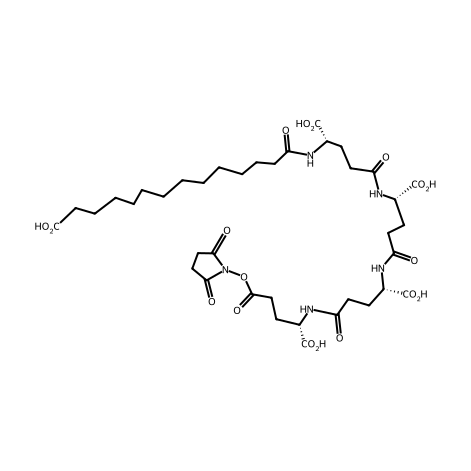 O=C(O)CCCCCCCCCCCCC(=O)N[C@@H](CCC(=O)N[C@@H](CCC(=O)N[C@@H](CCC(=O)N[C@@H](CCC(=O)ON1C(=O)CCC1=O)C(=O)O)C(=O)O)C(=O)O)C(=O)O